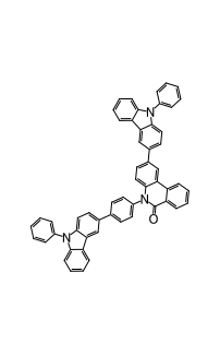 O=c1c2ccccc2c2cc(-c3ccc4c(c3)c3ccccc3n4-c3ccccc3)ccc2n1-c1ccc(-c2ccc3c(c2)c2ccccc2n3-c2ccccc2)cc1